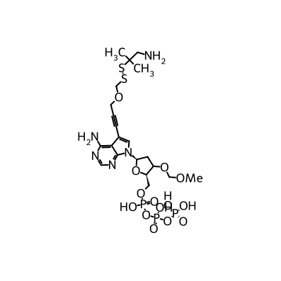 COCOC1C[C@H](n2cc(C#CCOCSSC(C)(C)CN)c3c(N)ncnc32)O[C@@H]1COP(=O)(O)OP(=O)(O)OP(=O)(O)O